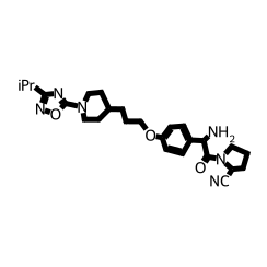 CC(C)c1noc(N2CCC(CCCOc3ccc(C(N)C(=O)N4CCCC4C#N)cc3)CC2)n1